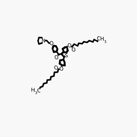 CCCCCCCCCCCC(=O)Oc1ccc(-c2sc3cc(OC(=O)CCCCCCCCCCC)ccc3c2C(=O)c2ccc(OCCN3CCCCC3)cc2)cc1